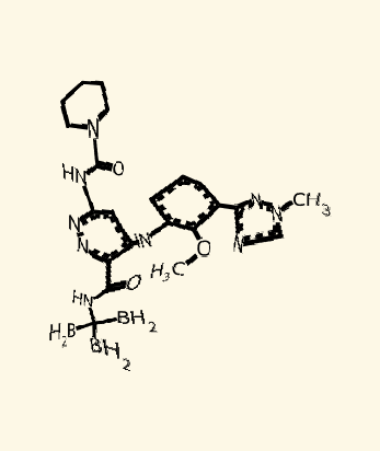 BC(B)(B)NC(=O)c1nnc(NC(=O)N2CCCCC2)cc1Nc1cccc(-c2ncn(C)n2)c1OC